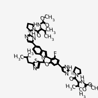 COC(=O)N[C@H](C(=O)N1CCC[C@H]1c1ncc(-c2cc(F)c3c(c2)OC(c2cnc(CC(C)C)s2)n2c-3cc3cc(-c4cnc([C@@H]5CCCN5C(=O)[C@@H](NC(=O)OC)C(C)C)[nH]4)ccc32)[nH]1)C(C)C